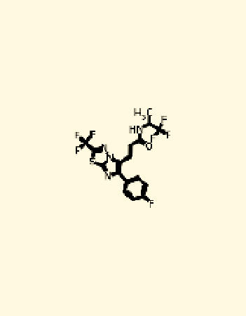 CC(NC(=O)/C=C/c1c(-c2ccc(F)cc2)nc2sc(C(F)(F)F)nn12)C(F)(F)F